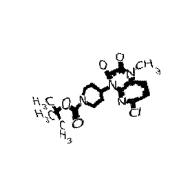 Cn1c(=O)c(=O)n(C2CCN(C(=O)OC(C)(C)C)CC2)c2nc(Cl)ccc21